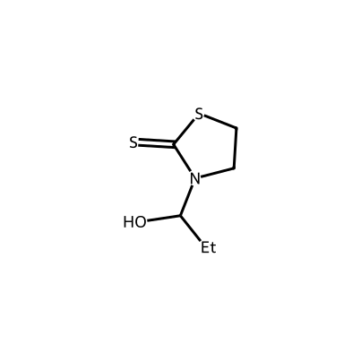 CCC(O)N1CCSC1=S